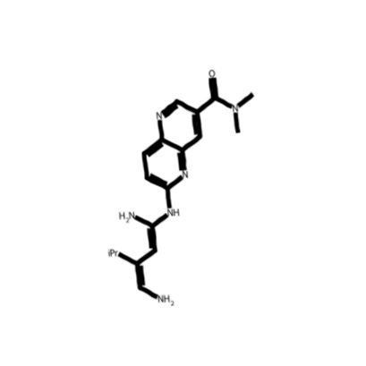 CC(C)C(=C/N)/C=C(\N)Nc1ccc2ncc(C(=O)N(C)C)cc2n1